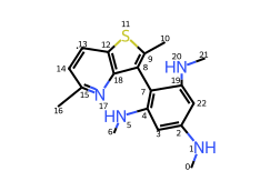 CNc1cc(NC)c(-c2c(C)sc3[c]cc(C)nc23)c(NC)c1